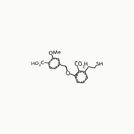 COc1cc(COc2cccc(CCS)c2C(=O)O)ccc1C(=O)O